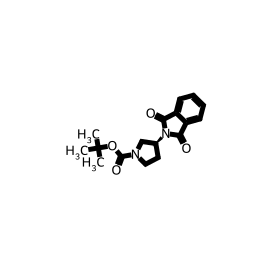 CC(C)(C)OC(=O)N1CC[C@H](N2C(=O)c3ccccc3C2=O)C1